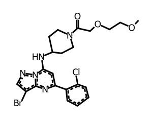 COCCOCC(=O)N1CCC(Nc2cc(-c3ccccc3Cl)nc3c(Br)cnn23)CC1